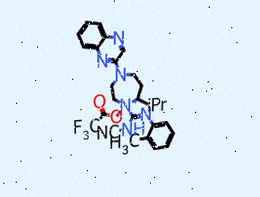 Cc1ccccc1N=C(NC#N)[N+]1(OC(=O)C(F)(F)F)CCN(c2cnc3ccccc3n2)CCC1C(C)C